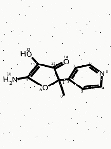 CC1(c2ccncc2)OC(N)=C(O)C1=O